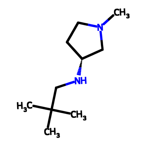 CN1CC[C@@H](NCC(C)(C)C)C1